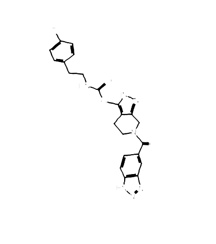 O=C(NCCc1ccc(F)cc1)Oc1[nH]nc2c1CCN(C(=O)c1ccc3[nH]nnc3c1)C2